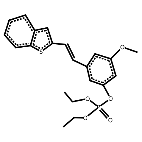 CCOP(=O)(OCC)Oc1cc(C=Cc2cc3ccccc3s2)cc(OC)c1